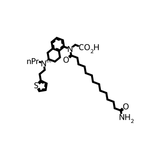 CCCN(CCc1cccs1)[C@H]1CCc2c(cccc2N(CC(=O)O)C(=O)CCCCCCCCCCCCC(N)=O)C1